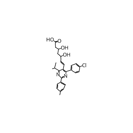 Cc1ccc(-c2nc(-c3ccc(Cl)cc3)c(/C=C/C(O)CC(O)CC(=O)O)c(C(C)C)n2)cc1